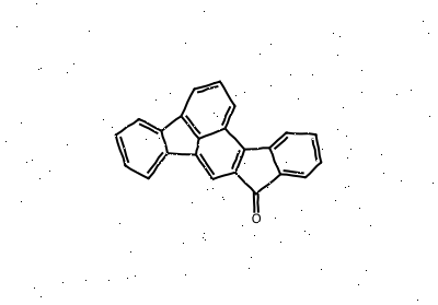 O=C1c2ccccc2-c2c1cc1c3c(cccc23)-c2ccccc2-1